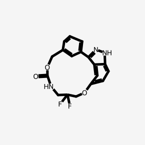 O=C1NCC(F)(F)COc2ccc3[nH]nc(c3c2)-c2cccc(c2)CO1